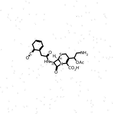 CC(=O)OC(CN)C1=C(C(=O)O)N2C(=O)[C@@H](NC(=O)CC3=CC=CCC3=C=O)[C@H]2SC1